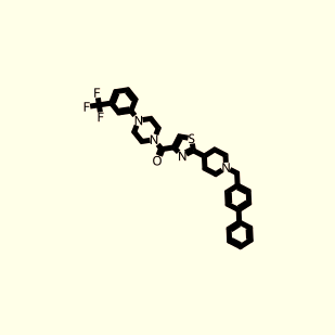 O=C(c1csc(C2CCN(Cc3ccc(-c4ccccc4)cc3)CC2)n1)N1CCN(c2cccc(C(F)(F)F)c2)CC1